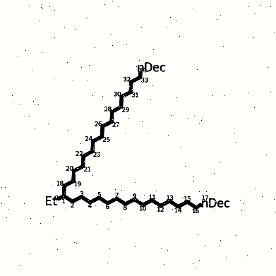 [CH2]CC(CCCCCCCCCCCCCCCCCCCCCCCCC)CCCCCCCCCCCCCCCCCCCCCCCCCC